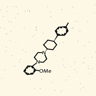 COc1ccccc1N1CCN([C@H]2CC[C@H](c3ccc(C)cc3)CC2)CC1